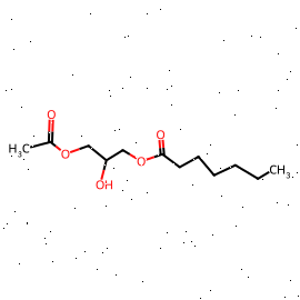 CCCCCCC(=O)OCC(O)COC(C)=O